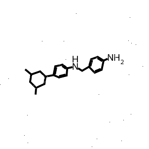 CC1CC(C)CC(c2ccc(NCc3ccc(N)cc3)cc2)C1